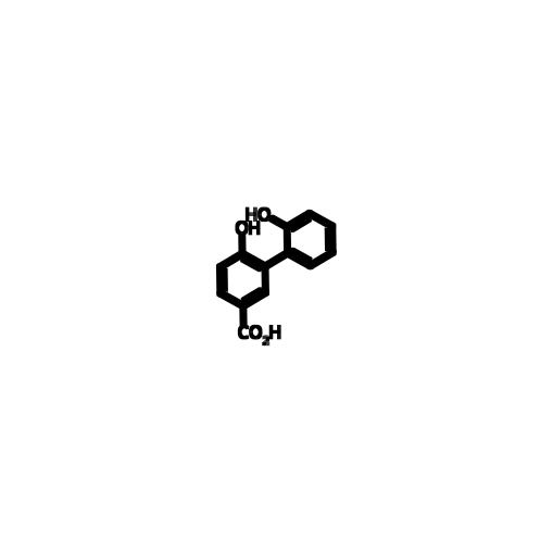 O=C(O)c1ccc(O)c(-c2ccccc2O)c1